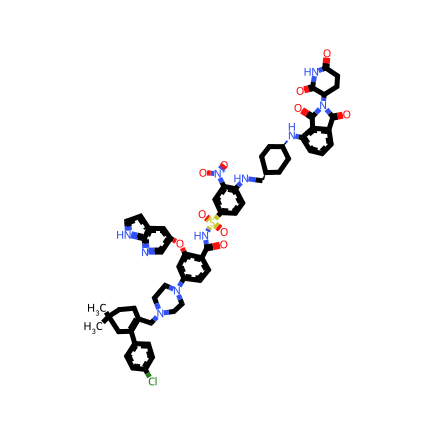 CC1(C)CCC(CN2CCN(c3ccc(C(=O)NS(=O)(=O)c4ccc(NC[C@H]5CC[C@@H](Nc6cccc7c6C(=O)N(C6CCC(=O)NC6=O)C7=O)CC5)c([N+](=O)[O-])c4)c(Oc4cnc5[nH]ccc5c4)c3)CC2)=C(c2ccc(Cl)cc2)C1